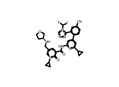 N#Cc1ccc(-c2cc(NC(=O)c3cc(CN[C@H]4CCOC4)cn(C4CC4)c3=O)nc(C3CC3)c2)c(-c2nncn2C(F)F)c1